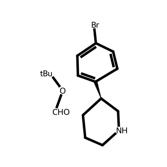 Brc1ccc([C@@H]2CCCNC2)cc1.CC(C)(C)OC=O